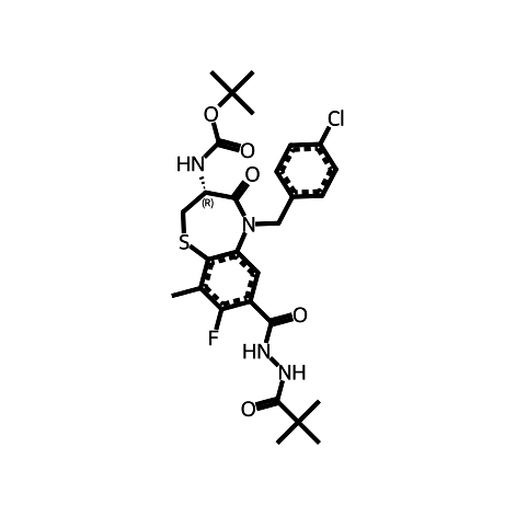 Cc1c(F)c(C(=O)NNC(=O)C(C)(C)C)cc2c1SC[C@H](NC(=O)OC(C)(C)C)C(=O)N2Cc1ccc(Cl)cc1